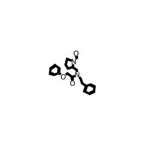 O=CN1CCCC1CN(CCc1ccccc1)C(=O)COc1ccccc1